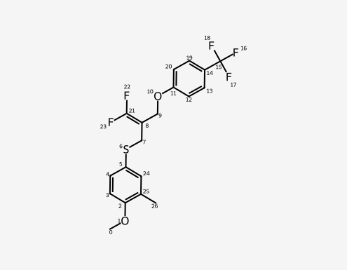 COc1ccc(SCC(COc2ccc(C(F)(F)F)cc2)=C(F)F)cc1C